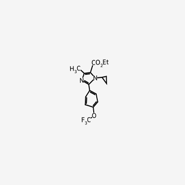 CCOC(=O)c1c(C)nc(-c2ccc(OC(F)(F)F)cc2)n1C1CC1